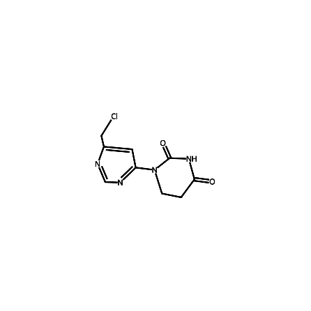 O=C1CCN(c2cc(CCl)ncn2)C(=O)N1